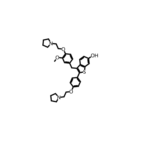 COc1cc(Cc2c(-c3ccc(OCCN4CCCC4)cc3)sc3cc(O)ccc23)ccc1OCCN1CCCC1